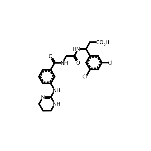 O=C(O)CC(NC(=O)CNC(=O)c1cccc(NC2=NCCCN2)c1)c1cc(Cl)cc(Cl)c1